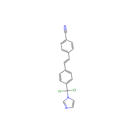 N#Cc1ccc(C=Cc2ccc(C(Cl)(Cl)n3ccnc3)cc2)cc1